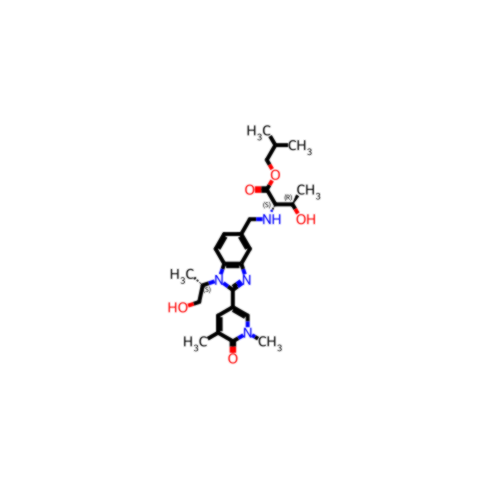 Cc1cc(-c2nc3cc(CN[C@H](C(=O)OCC(C)C)[C@@H](C)O)ccc3n2[C@@H](C)CO)cn(C)c1=O